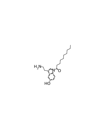 CCCCCCCCCC(=O)n1cc(CCN)c2cc(O)ccc21